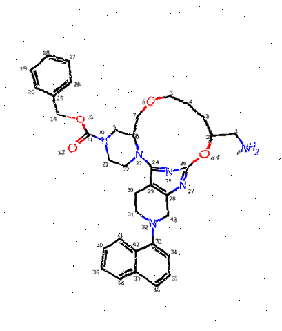 NCC1CCCOCC2CN(C(=O)OCc3ccccc3)CCN2c2nc(nc3c2CCN(c2cccc4ccccc24)C3)O1